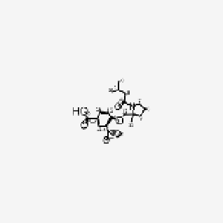 CC(C)CC(=O)N1CCCC1(C)COc1ccc(C(=O)O)cc1[N+](=O)[O-]